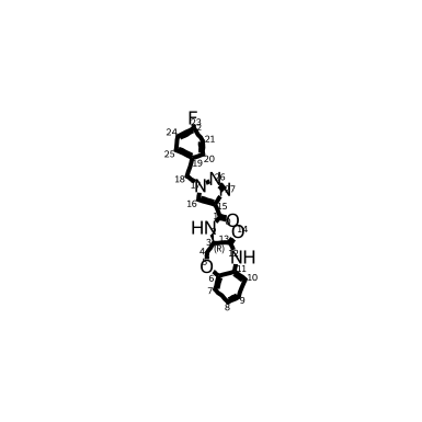 O=C(N[C@@H]1COc2ccccc2NC1=O)c1cn(Cc2ccc(F)cc2)nn1